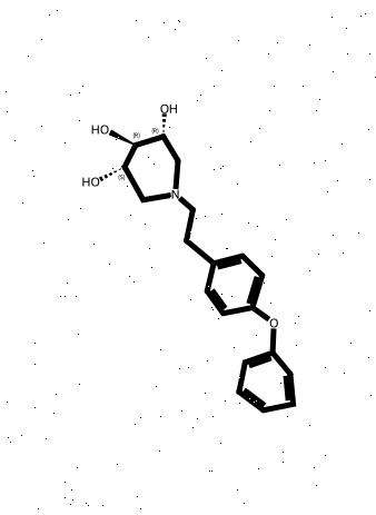 O[C@H]1[C@H](O)CN(CCc2ccc(Oc3ccccc3)cc2)C[C@@H]1O